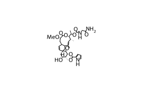 CO[C@H]1CC2C=C[C@@H]3C[C@]2(O[C@H]3[C@H](OC(=O)c2ccc[nH]2)[C@H](C)[C@H](C)O)/C(C)=C/[C@@H](C)[C@@H]([C@@H](C)OC(=O)NCC(N)=O)OC1=O